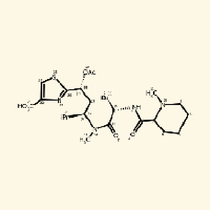 CC[C@H](C)[C@H](NC(=O)C1CCCCN1C)C(=O)N(C)[C@H](C[C@@H](OC(C)=O)c1nc(C(=O)O)cs1)C(C)C